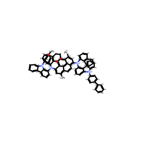 CC(C)c1ccc(-n2c3ccccc3c3cccc(N(c4cccc5c4CCCC5)c4cc(C(C)C)c5ccc6c(N(c7cccc8c7CCCC8)c7cccc8c7c7ccccc7n8-c7ccc(-c8ccccc8)cc7)cc(C(C)C)c7ccc4c5c76)c32)cc1